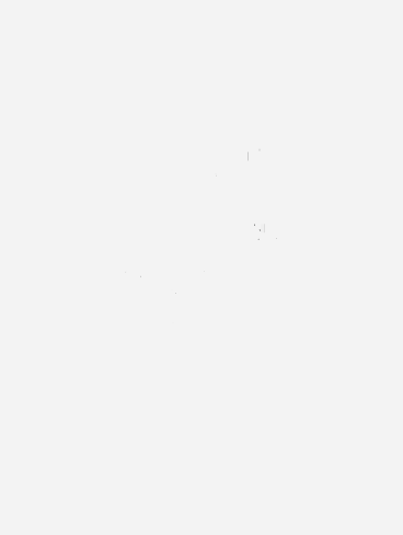 CCOC(=O)CCC(N)CF